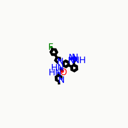 Cc1ccc(NC(=O)Nc2cc(-c3ccccc3-c3nnn[nH]3)ccc2N2CCC(c3ccc(F)cc3)C2)cn1